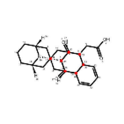 O=C(O)CN1C(=O)N([C@H]2C[C@H]3CCC[C@@H](C2)N3[C@H]2C[C@@H]3CCC[C@@H](C3)C2)C(=O)C2C=CC=CC21